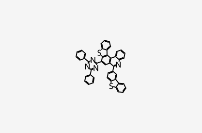 c1ccc(-c2nc(-c3ccccc3)nc(-c3cc4c(-c5ccc6sc7ccccc7c6c5)nc5ccccc5c4c4c3sc3ccccc34)n2)cc1